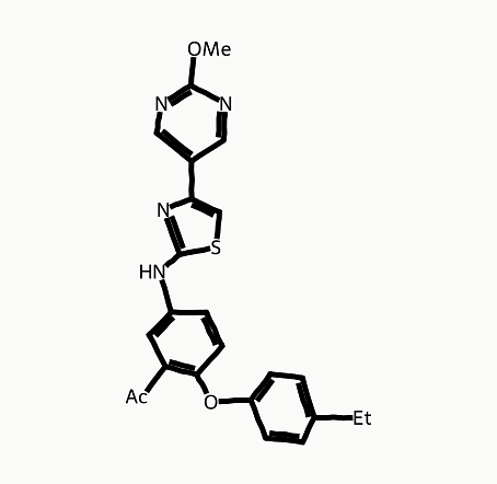 CCc1ccc(Oc2ccc(Nc3nc(-c4cnc(OC)nc4)cs3)cc2C(C)=O)cc1